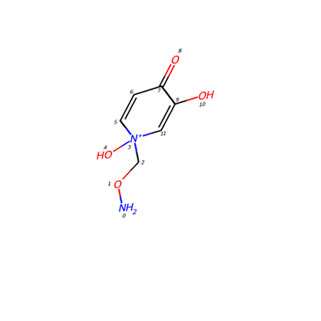 NOC[N+]1(O)C=CC(=O)C(O)=C1